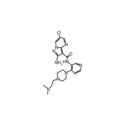 CN(C)CCN1CCN(c2ccncc2NC(=O)c2c(N)nn3cc(Cl)cnc23)CC1